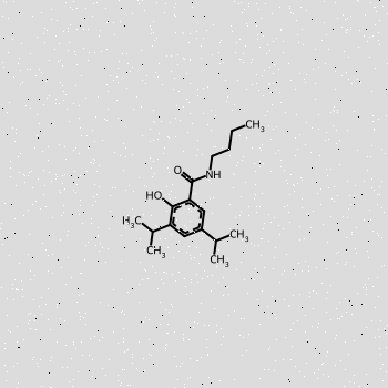 CCCCNC(=O)c1cc(C(C)C)cc(C(C)C)c1O